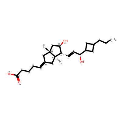 CCCC1CC([C@@H](O)/C=C/[C@@H]2[C@H]3C/C(=C/CCCC(=O)O)C[C@@H]3C[C@H]2O)C1